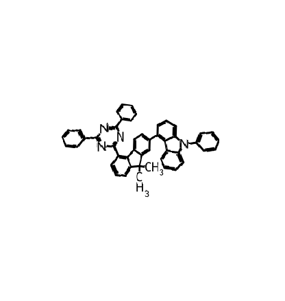 CC1(C)c2cc(-c3cccc4c3c3ccccc3n4-c3ccccc3)ccc2-c2c(-c3nc(-c4ccccc4)nc(-c4ccccc4)n3)cccc21